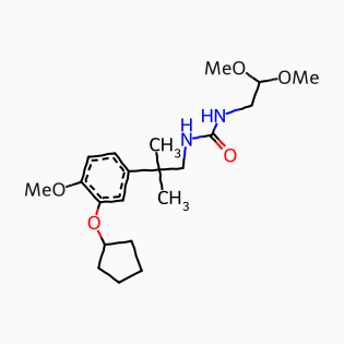 COc1ccc(C(C)(C)CNC(=O)NCC(OC)OC)cc1OC1CCCC1